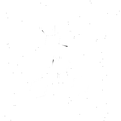 CC1(C)[C@@H]2CC[C@@]1(C)[C@@H](O)C2.O=C(N[C@@H](Cc1ccccc1)C(=O)O)c1ccccc1